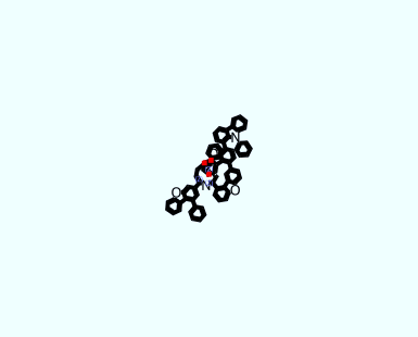 C1=C(c2cc(-c3ccccc3)c3c(c2)oc2ccccc23)\N=C(\c2cccc3oc4ccc(-c5ccc(-c6cccc7c8ccccc8n(-c8ccccc8)c67)c6oc7ccccc7c56)cc4c23)C/N=C(\c2ccccc2)CC/1